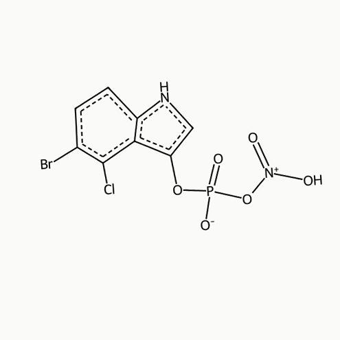 O=[N+](O)OP(=O)([O-])Oc1c[nH]c2ccc(Br)c(Cl)c12